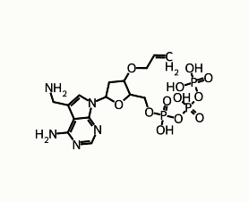 C=CCOC1CC(n2cc(CN)c3c(N)ncnc32)OC1COP(=O)(O)OP(=O)(O)OP(=O)(O)O